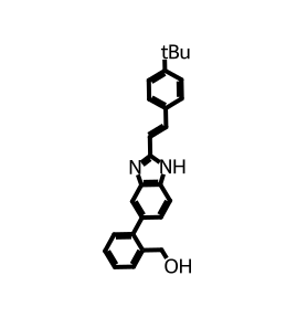 CC(C)(C)c1ccc(C=Cc2nc3cc(-c4ccccc4CO)ccc3[nH]2)cc1